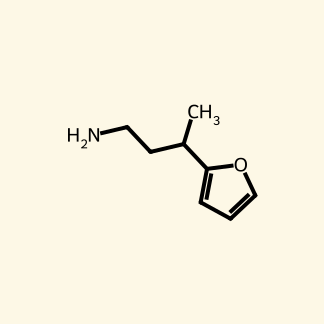 CC(CCN)c1ccco1